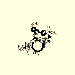 COc1ccc2c(OC3C[C@H]4C(=O)N[C@]5(C(=O)NS(=O)(=O)C6CC6)C[C@H]5/C=C\CC[C@H](C)C[C@@H](C)[C@H](NC(=O)NC(C)(C)C)C(=O)N4C3)nc(-c3ccc(OC(C)C)nc3)cc2c1